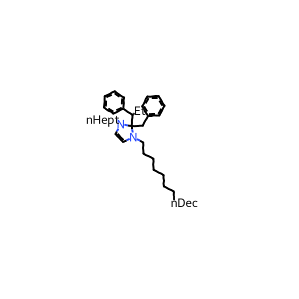 CCCCCCCCCCCCCCCCCN1C=CN(CCCCCCC)C1(Cc1ccccc1)C(CC)c1ccccc1